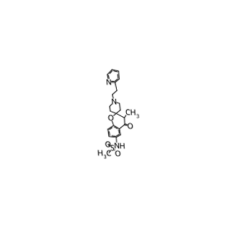 CC1C(=O)c2cc(NS(C)(=O)=O)ccc2OC12CCN(CCc1ccccn1)CC2